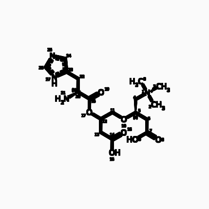 C[N+](C)(C)C[C@@H](CC(=O)O)OCC(CC(=O)O)OC(=O)[C@@H](N)Cc1cnc[nH]1